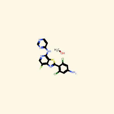 CO.Nc1cc(Cl)c(-c2nc3c(F)cnc(Nc4ccncn4)c3s2)c(Cl)c1